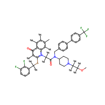 [2H]c1c(C)c([2H])c2c(c1[2H])c(=O)c([2H])c(SC([2H])([2H])c1cccc(F)c1F)n2C([2H])([2H])C(=O)N(Cc1ccc(-c2ccc(C(F)(F)F)cc2)cc1)C1CCN(C([2H])([2H])C([2H])([2H])OC)CC1